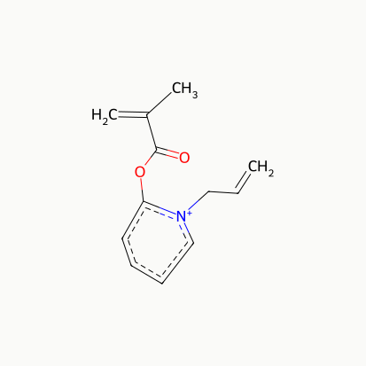 C=CC[n+]1ccccc1OC(=O)C(=C)C